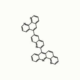 c1cnc2c(c1)cc(-c1ccc3nc(-c4c5ccccc5nc5c4ccc4cccnc45)ccc3c1)c1cccnc12